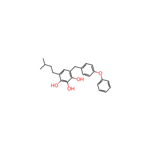 CC(C)CCc1cc(Cc2ccc(Oc3ccccc3)cc2)c(O)c(O)c1O